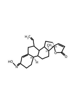 C=CC1CC2=CC(=NO)CC[C@@H]2C2CC[C@@]3(C)C(CC[C@@]34C=CC(=O)O4)C12